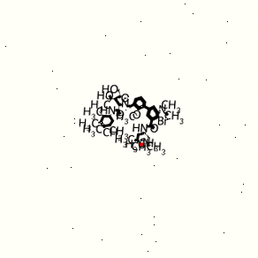 COc1c(CN2O[C@@H](CO)[C@@H]([C@H](C)O)[C@H]2C(=O)N[C@H]2C[C@@H](C)C(C)(C)[C@@H](C)[C@@H]2C)cccc1-c1cc(C(=O)N[C@H](CN(C)C)CC(C)(C)C)c(Br)c(N(C)C)c1